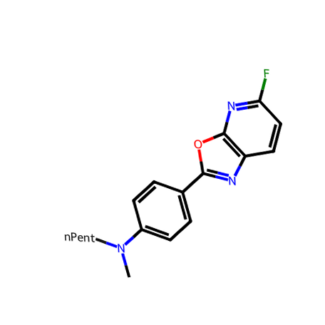 CCCCCN(C)c1ccc(-c2nc3ccc(F)nc3o2)cc1